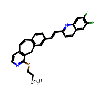 O=C(O)CCSc1nccc2c1Cc1cc(/C=C/c3ccc4cc(F)c(F)cc4n3)ccc1C=C2